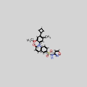 COc1cc(C2CCC2)c(C)cc1-n1c(=O)ccc2cc(S(=O)(=O)Nc3ccon3)ccc21